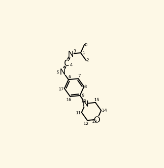 CC(C)N=C=Nc1ccc(N2CCOCC2)cc1